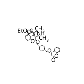 CCOC(=O)C1=C(C)NC(C)=C(C(=O)OC[C@H]2CC[C@H](COc3cc(=O)oc4ccccc34)CC2)C1c1ccccc1C(F)(F)F